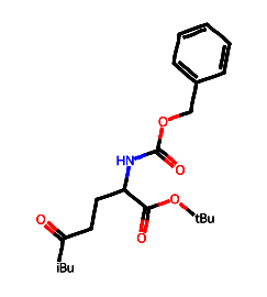 CCC(C)C(=O)CCC(NC(=O)OCc1ccccc1)C(=O)OC(C)(C)C